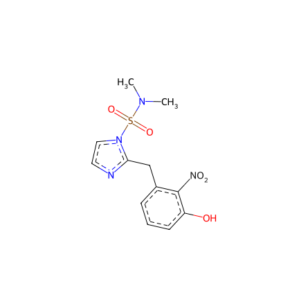 CN(C)S(=O)(=O)n1ccnc1Cc1cccc(O)c1[N+](=O)[O-]